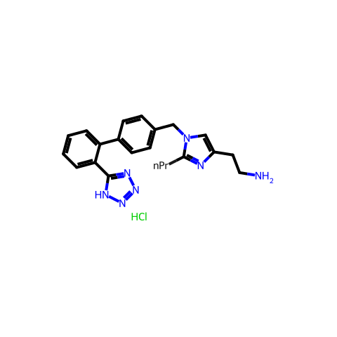 CCCc1nc(CCN)cn1Cc1ccc(-c2ccccc2-c2nnn[nH]2)cc1.Cl